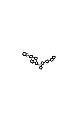 c1ccc(-c2ccccc2-c2ccc(-n3c4ccccc4c4cc(-c5ccc(-c6ccc7ccccc7c6)cc5)ccc43)cc2)c(-c2ccc(-c3nc4ccccc4o3)cc2)c1